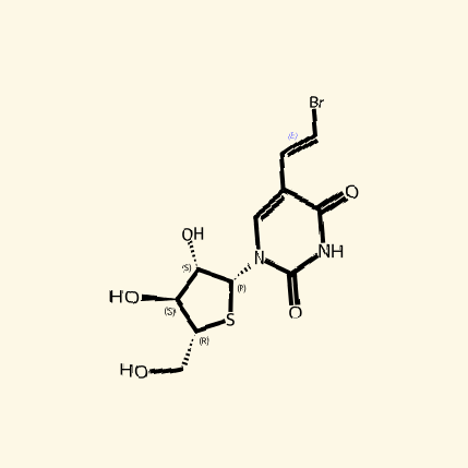 O=c1[nH]c(=O)n([C@@H]2S[C@H](CO)[C@@H](O)[C@@H]2O)cc1/C=C/Br